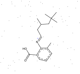 Cc1cccc(C(=O)O)c1/N=C/CC(C)CC(C)(C)C